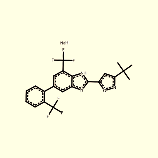 CC(C)(C)c1cc(-c2nc3cc(-c4ccccc4C(F)(F)F)cc(C(F)(F)F)c3[nH]2)on1.[NaH]